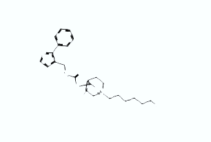 CCCCCCC[N+]12CCC(CC1)[C@@H](OC(=O)NCc1ccsc1-c1ccccc1)C2